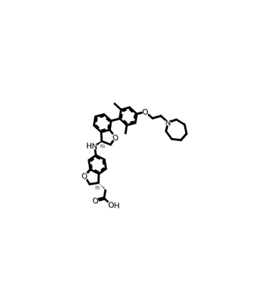 Cc1cc(OCCN2CCCCCC2)cc(C)c1-c1cccc2c1OC[C@H]2Nc1ccc2c(c1)OC[C@H]2CC(=O)O